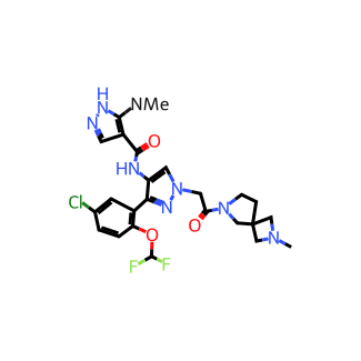 CNc1[nH]ncc1C(=O)Nc1cn(CC(=O)N2CCC3(CN(C)C3)C2)nc1-c1cc(Cl)ccc1OC(F)F